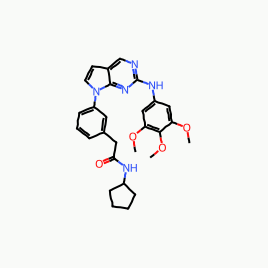 COc1cc(Nc2ncc3ccn(-c4cccc(CC(=O)NC5CCCC5)c4)c3n2)cc(OC)c1OC